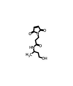 CC(CCO)NC(=O)CCN1C(=O)C=CC1=O